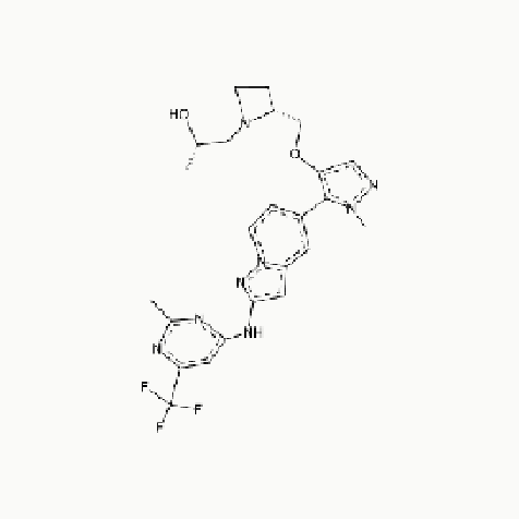 Cc1nc(Nc2cc3cc(-c4c(OC[C@H]5CCN5C[C@H](C)O)cnn4C)ccn3n2)cc(C(F)(F)F)n1